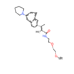 CCCOCCOCCNC(=O)/C(C#N)=C(\C)c1ccc2cc(N3CCCCC3)ccc2c1